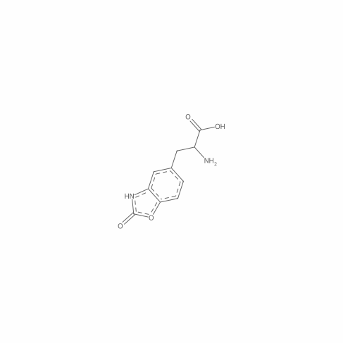 NC(Cc1ccc2oc(=O)[nH]c2c1)C(=O)O